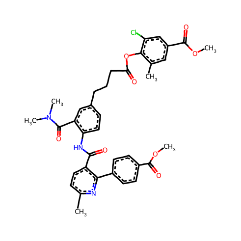 COC(=O)c1ccc(-c2nc(C)ccc2C(=O)Nc2ccc(CCCC(=O)Oc3c(C)cc(C(=O)OC)cc3Cl)cc2C(=O)N(C)C)cc1